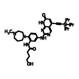 CC(C)[Si](C#Cc1cc(=O)[nH]c2nc(Nc3ccc(N4CCCN(C)CC4)c(NC(=O)CCCO)c3)ncc12)(C(C)C)C(C)C